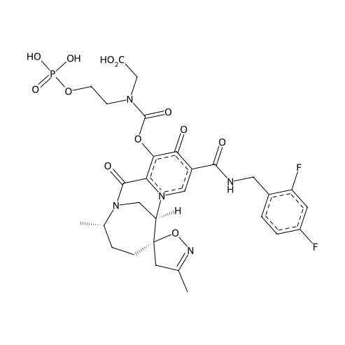 CC1=NO[C@@]2(CC[C@H](C)N3C[C@H]2n2cc(C(=O)NCc4ccc(F)cc4F)c(=O)c(OC(=O)N(CCOP(=O)(O)O)CC(=O)O)c2C3=O)C1